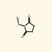 CCSN1C(=O)CCC1=O